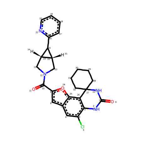 O=C1Nc2c(Cl)cc3cc(C(=O)N4C[C@@H]5C(c6ccccn6)[C@@H]5C4)oc3c2C2(CCCCC2)N1